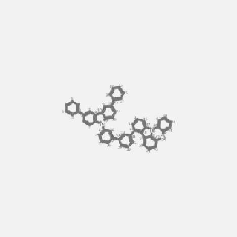 c1ccc(-c2ccc3c(c2)c2cc(-c4ccccc4)ccc2n3-c2cccc(-c3cccc(-c4cccc5c4c4cccc6c4n5-c4ccccc4O6)c3)c2)cc1